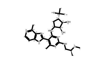 CO[C@@H](C)CNc1nc(C)c(-c2nc3c(C)nccc3s2)c(NC2C[C@H](C(C)(F)F)[C@@H](O)[C@H]2O)n1